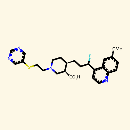 COc1ccc2nccc(C(F)CC[C@@H]3CCN(CCSc4cncnc4)C[C@@H]3C(=O)O)c2c1